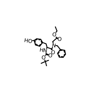 CCOC(=O)CN(Cc1ccccc1)C(=O)C(Cc1ccc(O)cc1)NC(=O)OC(C)(C)C